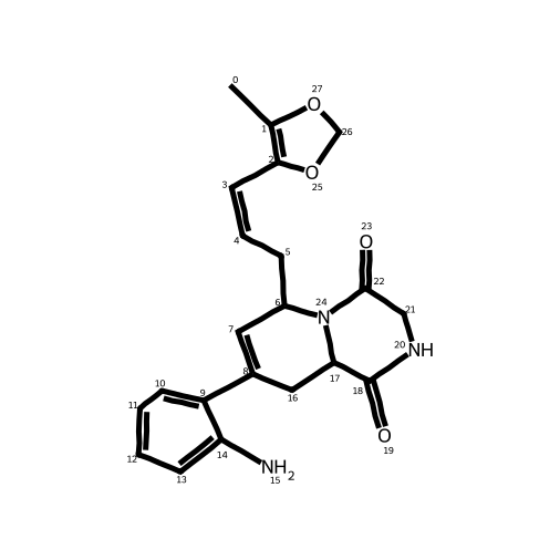 CC1=C(/C=C\CC2C=C(c3ccccc3N)CC3C(=O)NCC(=O)N23)OCO1